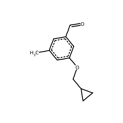 Cc1cc(C=O)cc(OCC2CC2)c1